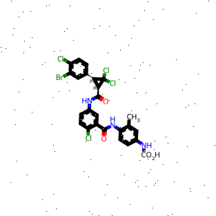 Cc1cc(NC(=O)O)ccc1NC(=O)c1cc(NC(=O)[C@H]2[C@H](c3ccc(Cl)c(Br)c3)C2(Cl)Cl)ccc1Cl